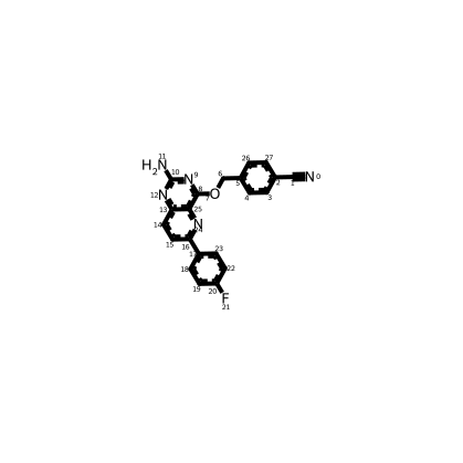 N#Cc1ccc(COc2nc(N)nc3ccc(-c4ccc(F)cc4)nc23)cc1